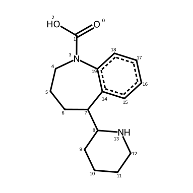 O=C(O)N1CCCC(C2CCCCN2)c2ccccc21